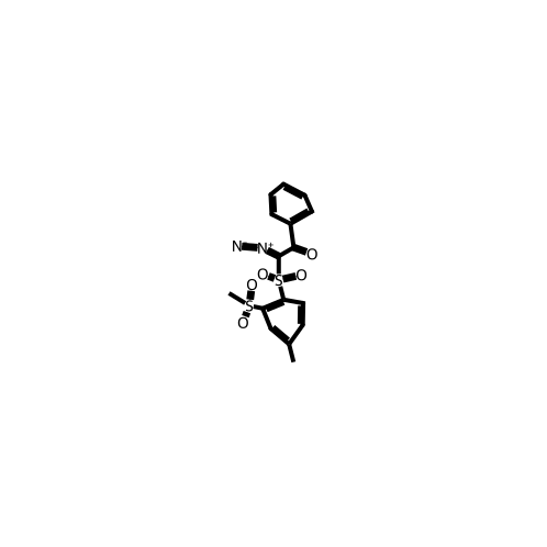 Cc1ccc(S(=O)(=O)C(=[N+]=[N-])C(=O)c2ccccc2)c(S(C)(=O)=O)c1